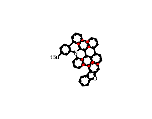 CC(C)(C)c1ccc(-c2ccccc2)c(N(c2cccc(-c3cccc4oc5ccccc5c34)c2)c2ccccc2-c2cccc3cccc(-c4ccccc4)c23)c1